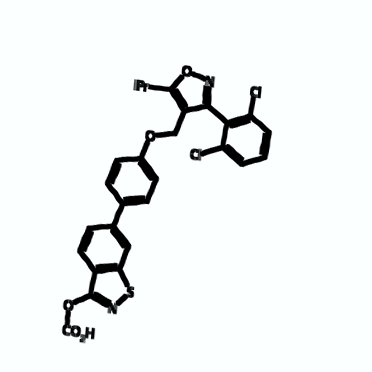 CC(C)c1onc(-c2c(Cl)cccc2Cl)c1COc1ccc(-c2ccc3c(OC(=O)O)nsc3c2)cc1